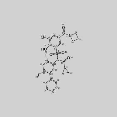 O=C(c1cc(Cl)c(O)c(S(=O)(=O)N(C(=O)C2CC2)c2cc(-c3ccccc3)c(F)cc2F)c1)N1CCC1